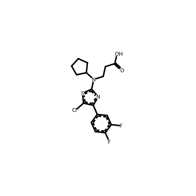 O=C(O)CCN(c1nc(-c2ccc(F)c(F)c2)c(Cl)s1)C1CCCC1